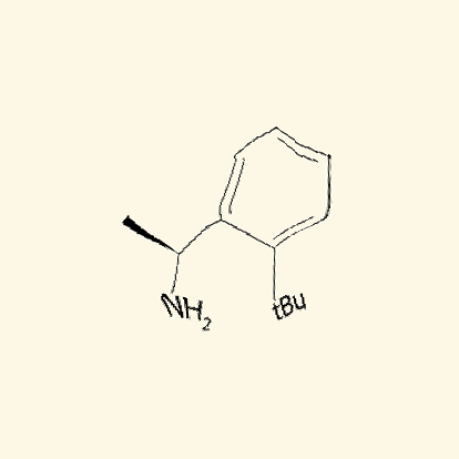 C[C@H](N)c1ccccc1C(C)(C)C